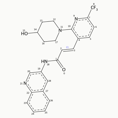 O=C(/C=C/c1ccc(C(F)(F)F)nc1N1CCC(O)CC1)Nc1cnc2ccccc2c1